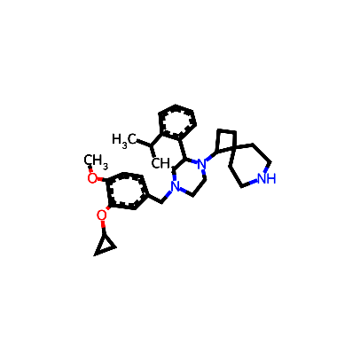 COc1ccc(CN2CCN(C3CCC34CCNCC4)C(c3ccccc3C(C)C)C2)cc1OC1CC1